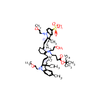 COCCN1/C(=C/C=C2\CCCC(/C=C/C3=[N+](CCOC)c4ccc(C)cc4C3(C)C)=C2N(CCCO)CCCC(=O)OC(C)(C)C)C(C)(C)c2cc(S(=O)(=O)O)ccc21